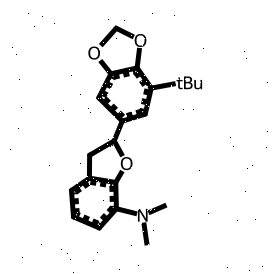 CN(C)c1cccc2c1OC(c1cc3c(c(C(C)(C)C)c1)OCO3)C2